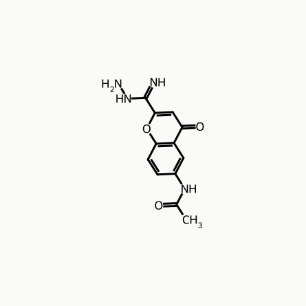 CC(=O)Nc1ccc2oc(C(=N)NN)cc(=O)c2c1